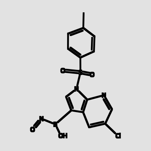 Cc1ccc(S(=O)(=O)n2cc(B(O)N=O)c3cc(Cl)cnc32)cc1